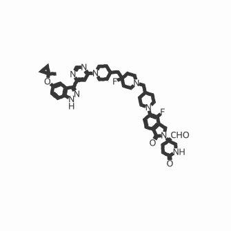 CC1(Oc2ccc3[nH]nc(-c4cc(N5CCC(CC6(F)CCN(CC7CCN(c8ccc9c(c8F)CN(C8(C=O)CCC(=O)NC8)C9=O)CC7)CC6)CC5)ncn4)c3c2)CC1